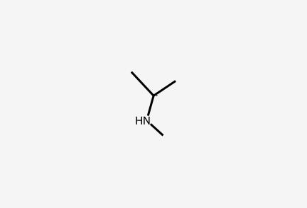 CN[C](C)C